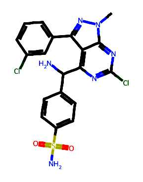 Cn1nc(-c2cccc(Cl)c2)c2c(C(N)c3ccc(S(N)(=O)=O)cc3)nc(Cl)nc21